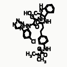 CN(C)S(=O)(=O)Nc1ccc(CCC(=O)NC2c3ccccc3NC2(NC(=O)C(=O)Nc2cc(Cl)ccc2-n2cnnn2)C(=O)O)cc1